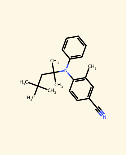 Cc1cc(C#N)ccc1N(c1ccccc1)C(C)(C)CC(C)(C)C